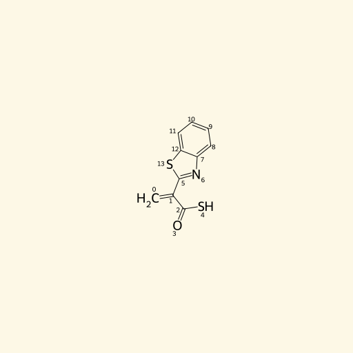 C=C(C(=O)S)c1nc2ccccc2s1